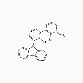 CCC1=C(c2cccc(-n3c4ccccc4c4ccccc43)c2C)C=CCC1C